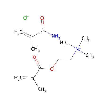 C=C(C)C(=O)OCC[N+](C)(C)C.C=C(C)C(N)=O.[Cl-]